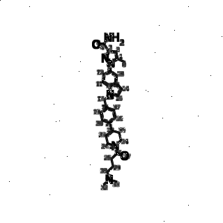 Cc1cc(C(N)=O)nn1-c1ccc2c(ccn2Cc2ccc(C3=CCN(C(=O)CCCN(C)C)CC3)cc2)c1